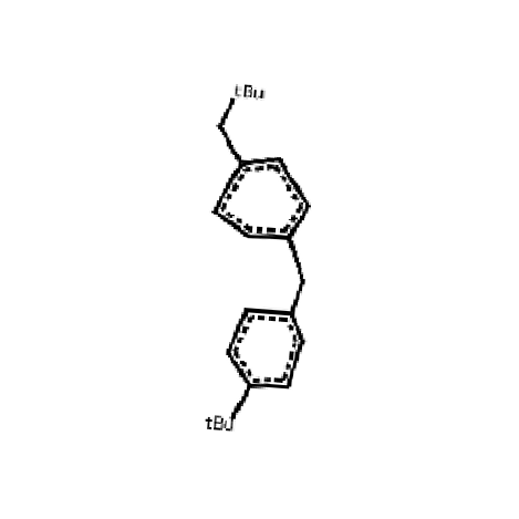 CC(C)(C)Cc1ccc(Cc2ccc(C(C)(C)C)cc2)cc1